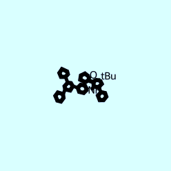 CC(C)(C)c1cc(-c2ccccc2)c(Nc2ccc(-c3cc(-c4ccccc4)cc(-c4ccccc4)c3)cc2)c2c1oc1ccccc12